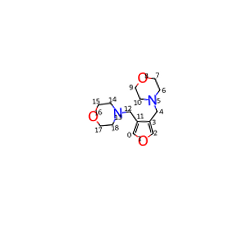 c1occ(CN2CCOCC2)c1CN1CCOCC1